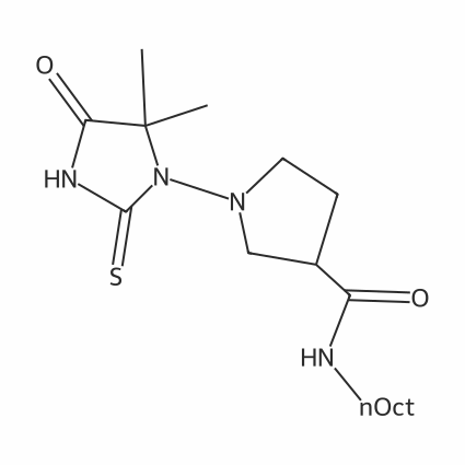 CCCCCCCCNC(=O)C1CCN(N2C(=S)NC(=O)C2(C)C)C1